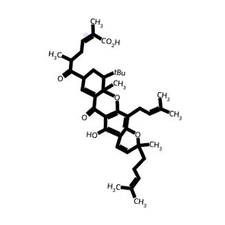 CC(C)=CCCC1(C)C=Cc2c(O)c3c(c(CC=C(C)C)c2O1)OC1(C)C(=CC(C(=O)C(C)C/C=C(/C)C(=O)O)CC1C(C)(C)C)C3=O